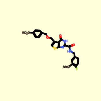 COc1cc(CNC(=O)c2nc3scc(COCc4ccc(C(=O)O)cc4)c3c(=O)[nH]2)ccc1F